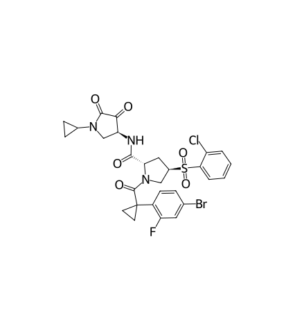 O=C1C(=O)N(C2CC2)C[C@@H]1NC(=O)[C@@H]1C[C@@H](S(=O)(=O)c2ccccc2Cl)CN1C(=O)C1(c2ccc(Br)cc2F)CC1